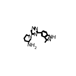 Cc1n[nH]c2ccc(-c3nncc(N4CCCC(N)C4)n3)cc12